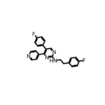 Fc1ccc(CCNc2ncc(-c3ccc(F)cc3)c(-c3ccncc3)n2)cc1